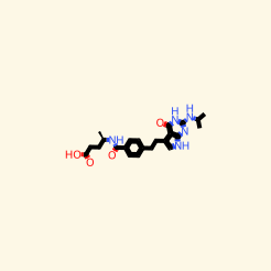 CC(C)Nc1nc2[nH]cc(CCc3ccc(C(=O)N[C@H](C)CCC(=O)O)cc3)c2c(=O)[nH]1